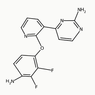 Nc1nccc(-c2cccnc2Oc2ccc(N)c(F)c2F)n1